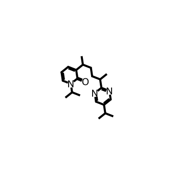 CC(C)c1cnc(C(C)CCC(C)c2cccn(C(C)C)c2=O)nc1